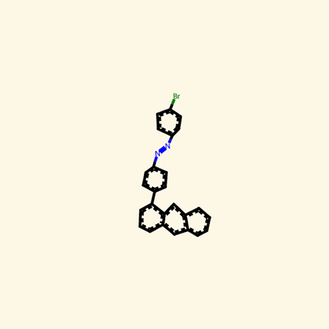 Brc1ccc(N=Nc2ccc(-c3cccc4cc5ccccc5cc34)cc2)cc1